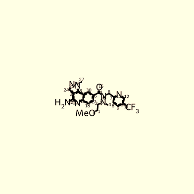 COCCN(C)N(Cc1ccc(C(F)(F)F)cn1)C(=O)c1ccc2nc(N)c3cnn(C)c3c2c1